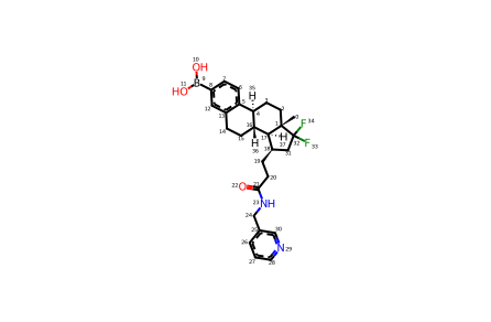 C[C@]12CC[C@@H]3c4ccc(B(O)O)cc4CC[C@H]3[C@@H]1[C@H](CCC(=O)NCc1cccnc1)CC2(F)F